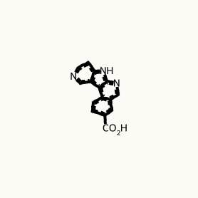 O=C(O)c1ccc2c(cnc3[nH]c4ccncc4c32)c1